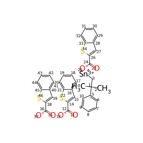 CC(C)([CH2][Sn+3])c1ccccc1.O=C([O-])c1cc2ccccc2s1.O=C([O-])c1cc2ccccc2s1.O=C([O-])c1cc2ccccc2s1